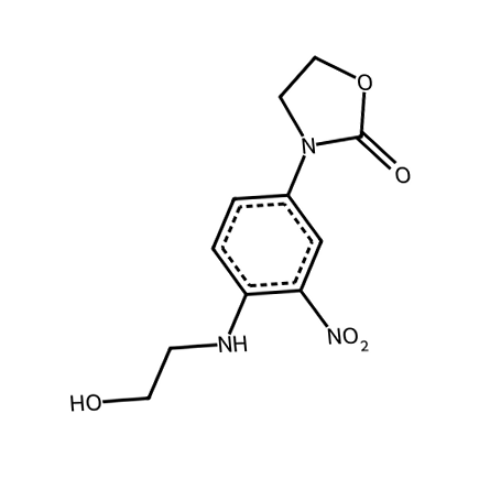 O=C1OCCN1c1ccc(NCCO)c([N+](=O)[O-])c1